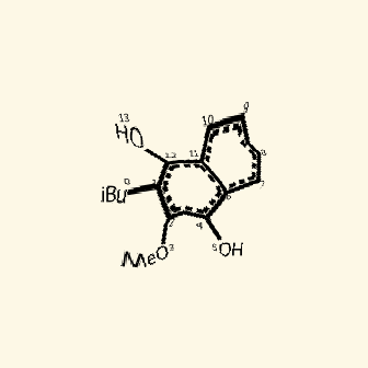 CCC(C)c1c(OC)c(O)c2ccccc2c1O